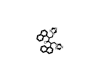 O=C(C(Cn1cncn1)c1cccc2ccccc12)C(Cn1cncn1)c1cccc2ccccc12